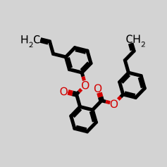 C=CCc1cccc(OC(=O)c2ccccc2C(=O)Oc2cccc(CC=C)c2)c1